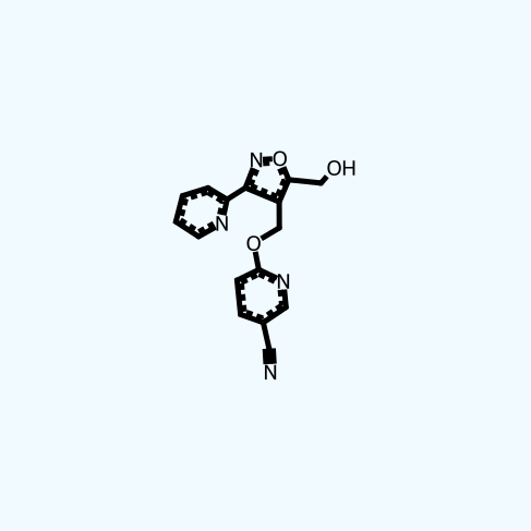 N#Cc1ccc(OCc2c(-c3ccccn3)noc2CO)nc1